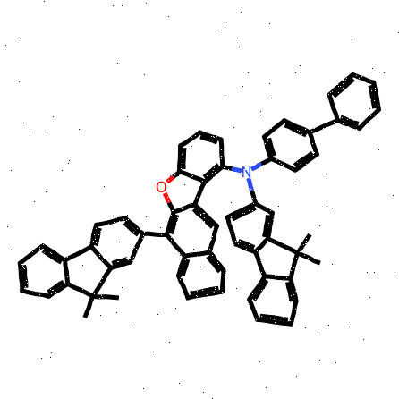 CC1(C)c2ccccc2-c2ccc(-c3c4ccccc4cc4c3oc3cccc(N(c5ccc(-c6ccccc6)cc5)c5ccc6c(c5)C(C)(C)c5ccccc5-6)c34)cc21